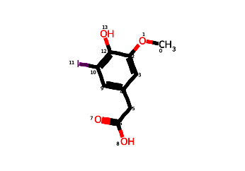 COc1cc(CC(=O)O)cc(I)c1O